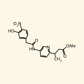 COC(=O)CC(C)c1ccc(NC(=O)Cc2ccc([N+](=O)[O-])c(O)c2)cn1